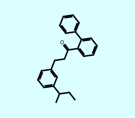 CCC(C)c1cccc(CCC(=O)c2ccccc2-c2ccccc2)c1